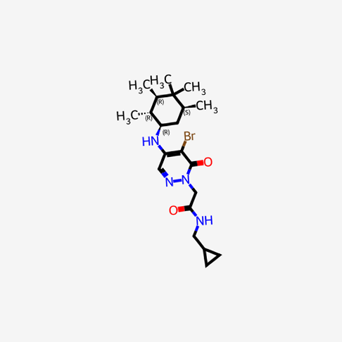 C[C@@H]1[C@@H](C)C(C)(C)[C@@H](C)C[C@H]1Nc1cnn(CC(=O)NCC2CC2)c(=O)c1Br